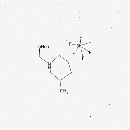 CCCCCCCCCC[NH+]1CCCC(C)C1.[F][Sb-]([F])([F])([F])([F])[F]